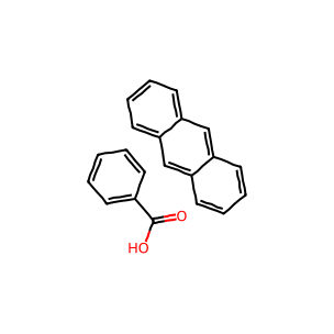 O=C(O)c1ccccc1.c1ccc2cc3ccccc3cc2c1